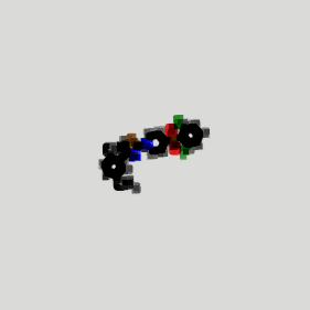 Cc1ccc(C)c(-c2csc(N3CCC(S(=O)(=O)c4c(F)cccc4F)CC3)n2)c1